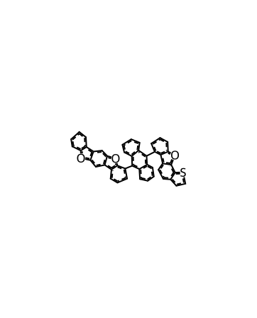 c1ccc2c(c1)oc1cc3c(cc12)oc1c(-c2c4ccccc4c(-c4cccc5oc6c(ccc7ccsc76)c45)c4ccccc24)cccc13